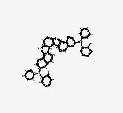 Cc1ccccc1N(c1ccccc1)c1ccc2c(ccc3c2sc2ccc4sc5c6ccc(N(c7ccccc7)c7ccccc7C)cc6ccc5c4c23)c1